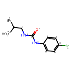 CC(C)C(CNC(=O)Nc1ccc(Br)cc1)C(=O)O